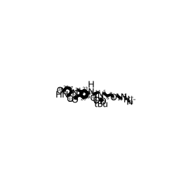 CC(C)(C)OC(=O)N(CCCOCCN=[N+]=[N-])CC(=O)Nc1ccc2c(c1)CN(C1CCC(=O)NC1=O)C2=O